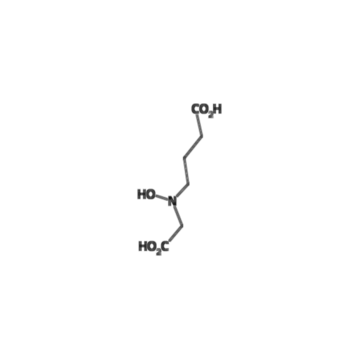 O=C(O)CCCN(O)CC(=O)O